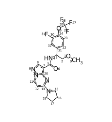 COCC(NC(=O)c1cnn2ccc(N3CCCC3)nc12)c1ccc(OC(F)(F)F)c(F)c1